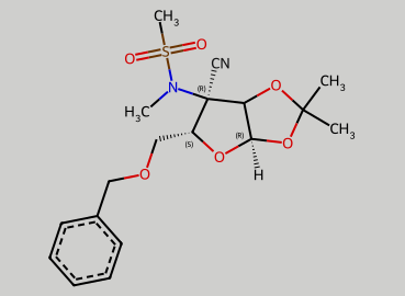 CN([C@@]1(C#N)C2OC(C)(C)O[C@H]2O[C@@H]1COCc1ccccc1)S(C)(=O)=O